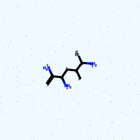 C=C(N)C(N)CC(C)C(N)CC